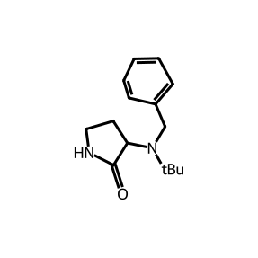 CC(C)(C)N(Cc1ccccc1)C1CCNC1=O